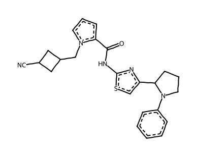 N#CC1CC(Cn2cccc2C(=O)Nc2nc(C3CCCN3c3ccccc3)cs2)C1